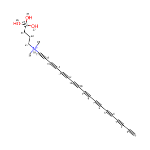 C#CC#CC#CC#CC#CC#CC#CC#CC#C[N+](C)(C)CCC[Si](O)(O)O